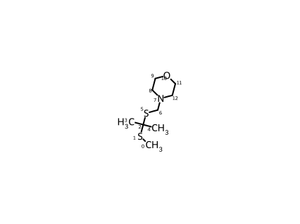 CSC(C)(C)SCN1CCOCC1